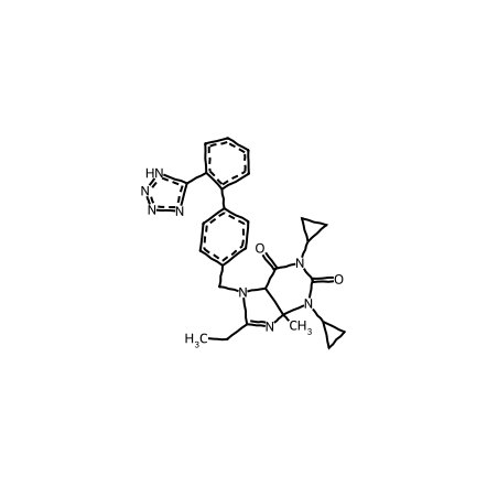 CCC1=NC2(C)C(C(=O)N(C3CC3)C(=O)N2C2CC2)N1Cc1ccc(-c2ccccc2-c2nnn[nH]2)cc1